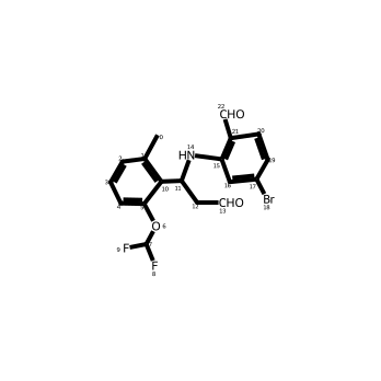 Cc1cccc(OC(F)F)c1C(CC=O)Nc1cc(Br)ccc1C=O